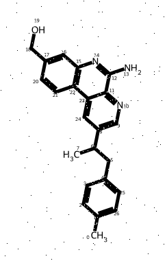 Cc1ccc(CC(C)c2cnc3c(N)nc4cc(CO)ccc4c3c2)cc1